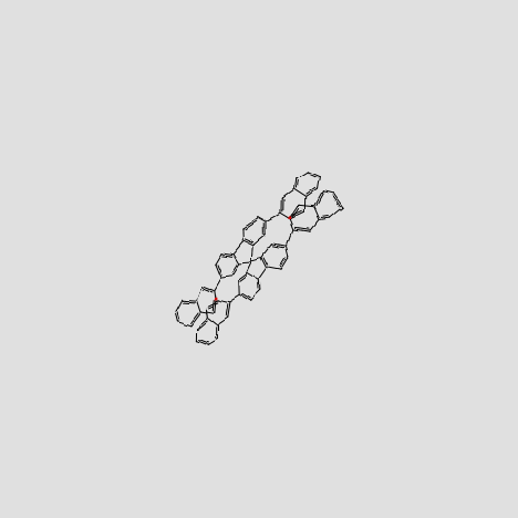 c1ccc2cc(-c3ccc4c(c3)C3(c5cc(-c6ccc7ccccc7c6)ccc5-4)c4cc(-c5ccc6ccccc6c5)ccc4-c4ccc(-c5ccc6ccccc6c5)cc43)ccc2c1